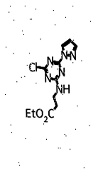 CCOC(=O)CCNc1nc(Cl)nc(-n2cccn2)n1